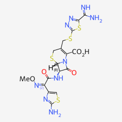 CO/N=C(\C(=O)N[C@@H]1C(=O)N2C(C(=O)O)=C(CSc3nnc(C(=N)N)s3)CS[C@@H]12)c1csc(N)n1